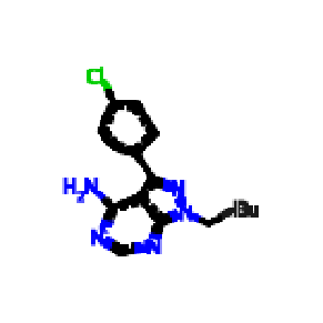 CCC(C)Cn1nc(-c2ccc(Cl)cc2)c2c(N)ncnc21